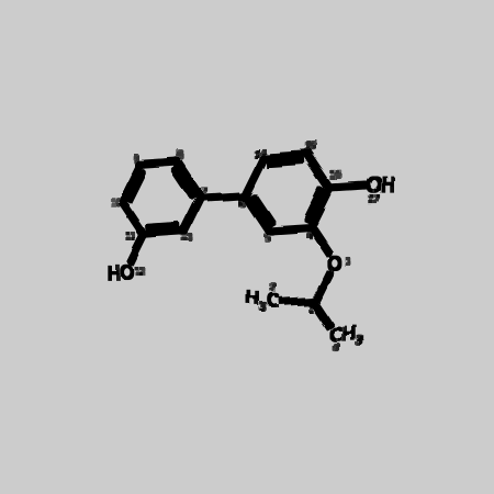 CC(C)Oc1cc(-c2cccc(O)c2)ccc1O